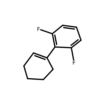 Fc1cccc(F)c1C1=CCCCC1